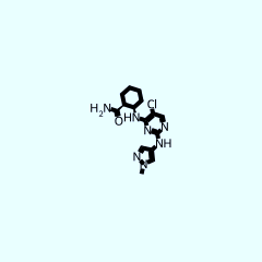 Cn1cc(Nc2ncc(Cl)c(N[C@@H]3CCCC[C@@H]3C(N)=O)n2)cn1